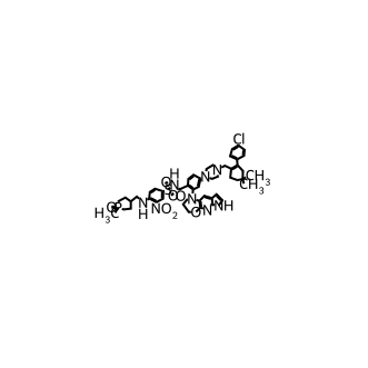 CC1(C)CCC(CN2CCN(c3ccc(C(=O)NS(=O)(=O)c4ccc(NCC5CCP(C)(=O)CC5)c([N+](=O)[O-])c4)c(N4CCCOc5nc6[nH]ccc6cc54)c3)CC2)=C(c2ccc(Cl)cc2)C1